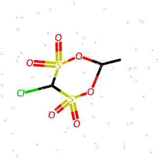 CC1OS(=O)(=O)C(Cl)S(=O)(=O)O1